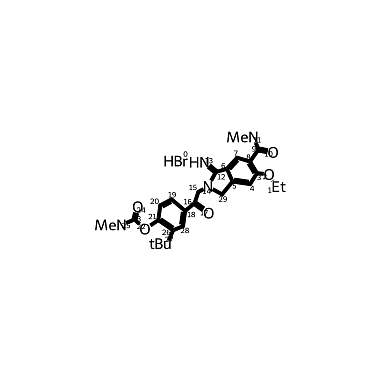 Br.CCOc1cc2c(cc1C(=O)NC)C(=N)N(CC(=O)c1ccc(OC(=O)NC)c(C(C)(C)C)c1)C2